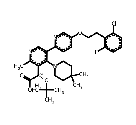 Cc1ncc(-c2ccc(OCCc3c(F)cccc3Cl)cn2)c(N2CCC(C)(C)CC2)c1[C@H](OC(C)(C)C)C(=O)O